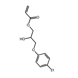 C=CC(=O)OCC(O)COc1ccc(CC)cc1